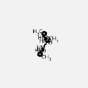 COC(=O)[C@H](CCCNC(=O)Nc1cccc(C)c1)NC(=O)Nc1cccc(C)c1